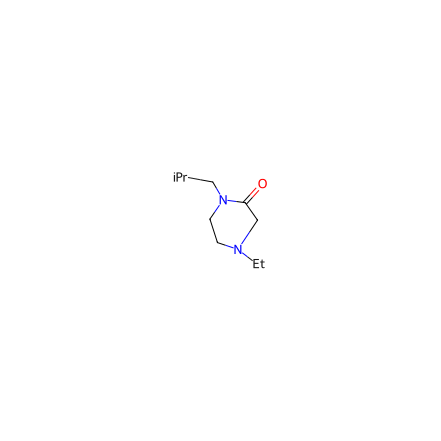 CCN1CCN(CC(C)C)C(=O)C1